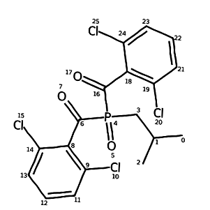 CC(C)CP(=O)(C(=O)c1c(Cl)cccc1Cl)C(=O)c1c(Cl)cccc1Cl